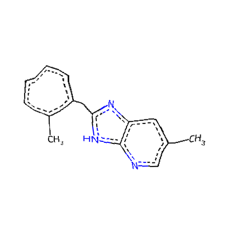 Cc1cnc2[nH]c(-c3ccccc3C)nc2c1